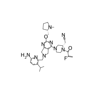 C=C(F)C(=O)N1CCN(c2nc(OC[C@@H]3CCCN3C)nc3c2CN(Cc2nc(N)ccc2C(C)C)C3)C[C@@H]1CC#N